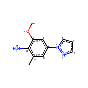 COc1cc(-n2cccn2)cc(C)c1N